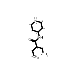 CCC(CC)C(=O)NC1CCNCC1